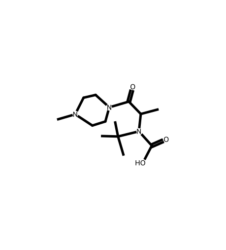 CC(C(=O)N1CCN(C)CC1)N(C(=O)O)C(C)(C)C